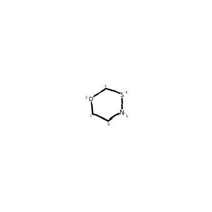 C1COCS[N]1